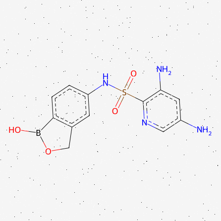 Nc1cnc(S(=O)(=O)Nc2ccc3c(c2)COB3O)c(N)c1